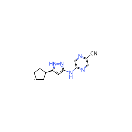 N#Cc1cnc(Nc2cc([C@H]3C[CH]CC3)[nH]n2)cn1